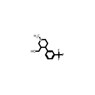 CN1CCC(c2cccc(C(F)(F)F)c2)C(CO)C1